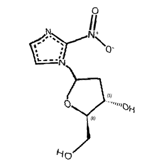 O=[N+]([O-])c1nccn1C1C[C@H](O)[C@@H](CO)O1